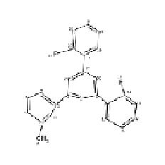 Cc1cccc(-c2cc(-c3ccccc3F)cc(-c3ccccc3F)c2)c1